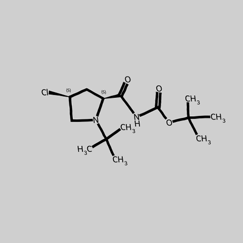 CC(C)(C)OC(=O)NC(=O)[C@@H]1C[C@H](Cl)CN1C(C)(C)C